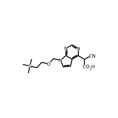 C[Si](C)(C)CCOCn1ccc2c(C(C#N)C(=O)O)ncnc21